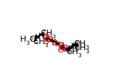 CC(C)=CCCC(C)=COC(=O)OCCOCCOC(=O)OC=C(C)CCC=C(C)C